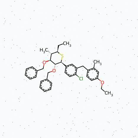 CCOc1ccc(Cc2cc([C@@H]3S[C@H](CC)[C@@H](C)[C@H](OCc4ccccc4)[C@H]3OCc3ccccc3)ccc2Cl)c(C)c1